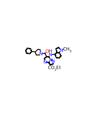 CCOC(=O)c1cnn2c(Nc3cccc4c3ccn4C)c(C(=O)N3CCC(c4ccccc4)CC3)cnc12